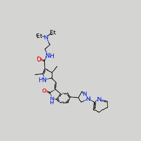 CCN(CC)CCNC(=O)C1=C(C)NC(/C=C2\C(=O)Nc3ccc(C4C=NN(C5=CCCC=N5)C4)cc32)C1C